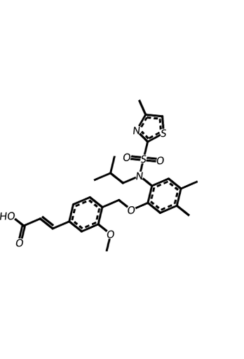 COc1cc(/C=C/C(=O)O)ccc1COc1cc(C)c(C)cc1N(CC(C)C)S(=O)(=O)c1nc(C)cs1